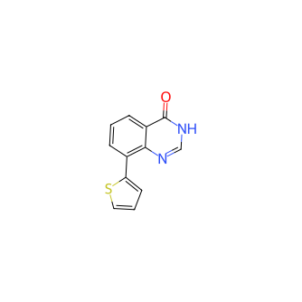 O=c1[nH]cnc2c(-c3cccs3)cccc12